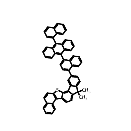 CC1(C)c2ccc(-c3ccc(-c4c5ccccc5c(-c5cccc6ccccc56)c5ccccc45)c4ccccc34)cc2-c2c1ccc1c2sc2ccc3ccccc3c21